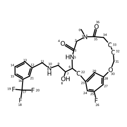 CN1CC(=O)NC(C(O)CNCc2cccc(C(F)(F)F)c2)Cc2cc(F)cc(c2)OCCCCC1=O